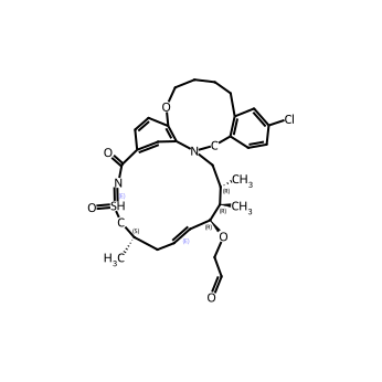 C[C@H]1C/C=C/[C@H](OCC=O)[C@H](C)[C@@H](C)CN2Cc3ccc(Cl)cc3CCCCOc3ccc(cc32)C(=O)/N=[SH](=O)\C1